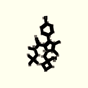 Cc1c(-c2ccc(Cl)cc2)c(C(=O)N(C)CC(C)(C)C)n(CC2(O)CCC2)c1C